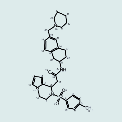 Cc1ccc(S(=O)(=O)N2CCn3cccc3C2CC(=O)NC2CCc3cc(CN4CCCCC4)ccc3C2)cc1